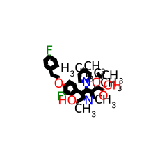 Cc1nc(C(C)O)c(-c2ccc(OCCc3ccc(F)cc3)c(F)c2)c(N2CCC(C)(C)CC2)c1[C@H](OC(C)(C)C)C(=O)O